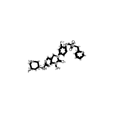 CC(C)N1C(=O)N(c2ccc(NS(=O)(=O)Cc3ccccn3)c(F)c2)Cc2cnc(N[C@@H]3CNC[C@@H](F)C3)nc21